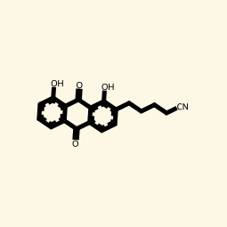 N#CCCCCc1ccc2c(c1O)C(=O)c1c(O)cccc1C2=O